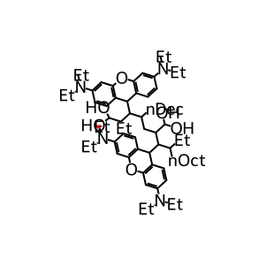 CCCCCCCCCCC(CC(C(O)O)C(C(CC)CCCCCCCC)C1c2ccc(N(CC)CC)cc2Oc2cc(N(CC)CC)ccc21)C(C1c2ccc(N(CC)CC)cc2Oc2cc(N(CC)CC)ccc21)C(CC)C(O)O